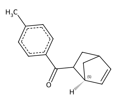 Cc1ccc(C(=O)C2CC3C=C[C@@H]2C3)cc1